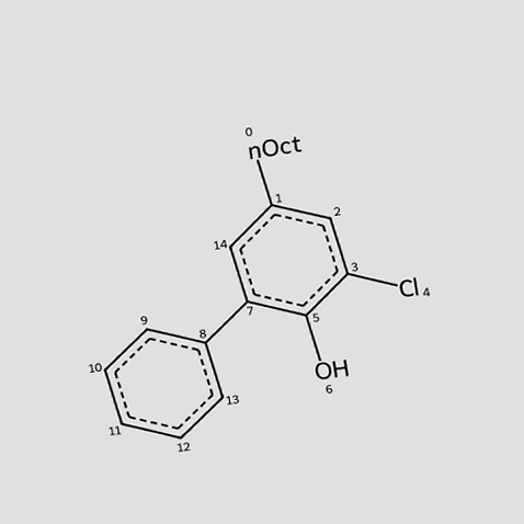 CCCCCCCCc1cc(Cl)c(O)c(-c2ccccc2)c1